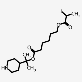 CC(I)C(=O)OCCCCCC(=O)OC(C)(C)C1CCNCC1